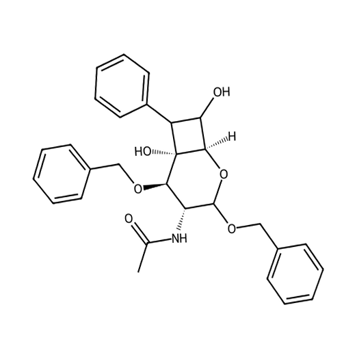 CC(=O)N[C@H]1C(OCc2ccccc2)O[C@@H]2C(O)C(c3ccccc3)[C@]2(O)[C@@H]1OCc1ccccc1